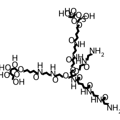 NCCCNC(=O)CCOCC(COCCC(=O)NCCCNC(=O)CCCCO[C@H](OC(CO)CO)C(O)SO)(COCCC(=O)NCCCNC(=O)CCCCO[C@@H]1OC(CO)[C@@H](O)C(O)C1O)NC(=O)CCCC(=O)NCCCNC(=O)CCN